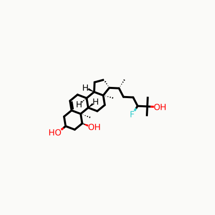 C[C@H](CCC(F)C(C)(C)O)[C@H]1CC[C@H]2[C@@H]3CC=C4CC(O)C[C@H](O)[C@]4(C)[C@H]3CC[C@]12C